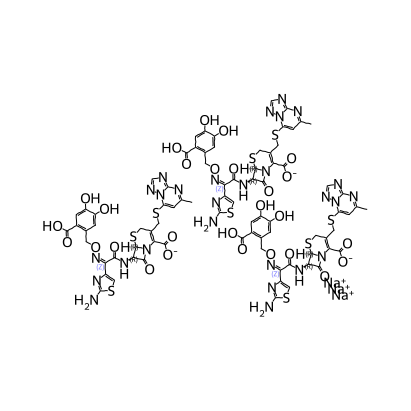 Cc1cc(SCC2=C(C(=O)[O-])N3C(=O)[C@@H](NC(=O)/C(=N\OCc4cc(O)c(O)cc4C(=O)O)c4csc(N)n4)[C@H]3SC2)n2ncnc2n1.Cc1cc(SCC2=C(C(=O)[O-])N3C(=O)[C@@H](NC(=O)/C(=N\OCc4cc(O)c(O)cc4C(=O)O)c4csc(N)n4)[C@H]3SC2)n2ncnc2n1.Cc1cc(SCC2=C(C(=O)[O-])N3C(=O)[C@@H](NC(=O)/C(=N\OCc4cc(O)c(O)cc4C(=O)O)c4csc(N)n4)[C@H]3SC2)n2ncnc2n1.[Na+].[Na+].[Na+]